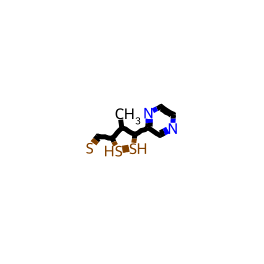 CC1C(C=S)[SH]=[SH]C1c1cnccn1